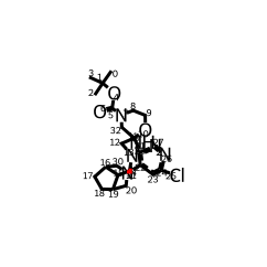 CC(C)(C)OC(=O)N1CCOC2(CN(CC3C4CCC3CN(c3cc(Cl)nnc3N)C4)C2)C1